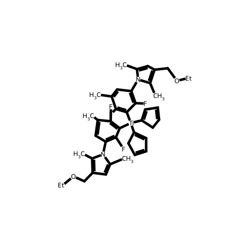 CCOCc1cc(C)n(-c2cc(C)c(F)[c]([Ti]([C]3=CC=CC3)([C]3=CC=CC3)[c]3c(F)c(C)cc(-n4c(C)cc(COCC)c4C)c3F)c2F)c1C